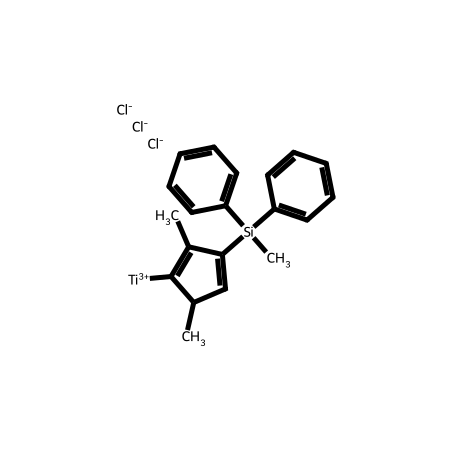 CC1=[C]([Ti+3])C(C)C=C1[Si](C)(c1ccccc1)c1ccccc1.[Cl-].[Cl-].[Cl-]